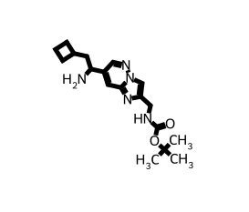 CC(C)(C)OC(=O)NCc1cn2ncc(C(N)CC3CCC3)cc2n1